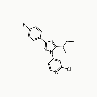 CCC(C)c1cc(-c2ccc(F)cc2)nn1-c1ccnc(Cl)c1